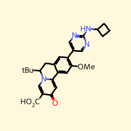 COc1cc2c(cc1-c1cnc(NC3CCC3)nc1)CC(C(C)(C)C)n1cc(C(=O)O)c(=O)cc1-2